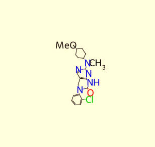 CO[C@H]1CC[C@H](N(C)c2ncc3c(n2)NC(=O)N(c2ccccc2Cl)C3)CC1